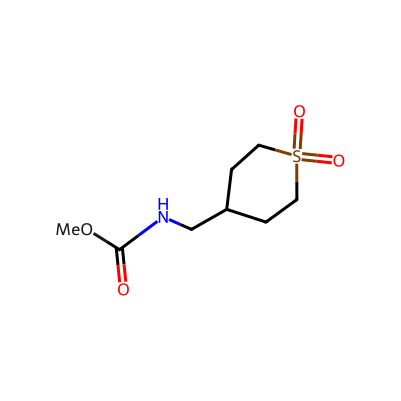 COC(=O)NCC1CCS(=O)(=O)CC1